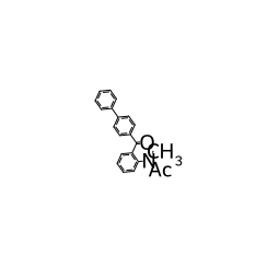 CC(=O)N(C)c1ccccc1C(=O)c1ccc(-c2ccccc2)cc1